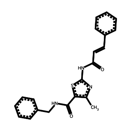 Cc1nc(NC(=O)C=Cc2ccccc2)sc1C(=O)NCc1ccccc1